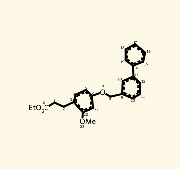 CCOC(=O)CCc1ccc(OCc2cccc(-c3ccccc3)c2)cc1OC